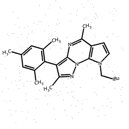 CCC(C)Cn1ccc2c(C)nc3c(-c4c(C)cc(C)cc4C)c(C)nn3c21